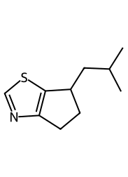 CC(C)CC1CCc2ncsc21